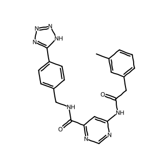 Cc1cccc(CC(=O)Nc2cc(C(=O)NCc3ccc(-c4nnn[nH]4)cc3)ncn2)c1